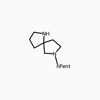 CCCCCN1CCC2(CCCN2)C1